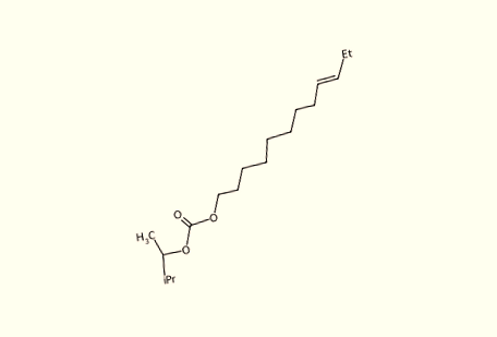 CC/C=C/CCCCCCCCOC(=O)OC(C)C(C)C